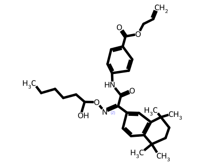 C=CCOC(=O)c1ccc(NC(=O)/C(=N\OC(O)CCCCC)c2ccc3c(c2)C(C)(C)CCC3(C)C)cc1